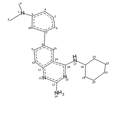 CN(C)c1cccc(-c2ccc3nc(N)nc(NC4CCCCC4)c3c2)c1